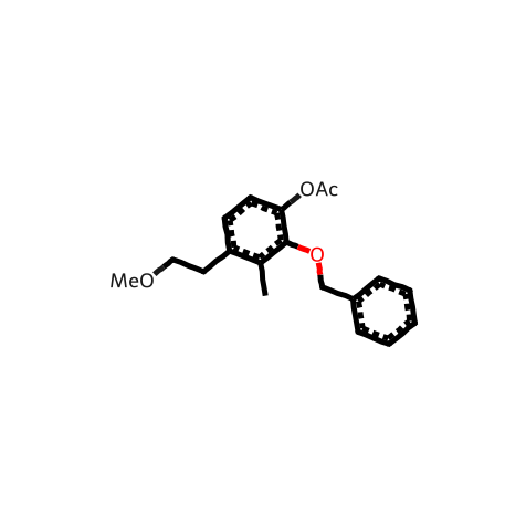 COCCc1ccc(OC(C)=O)c(OCc2ccccc2)c1C